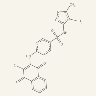 Cc1noc(NS(=O)(=O)c2ccc(NC3=C(Cl)C(=O)c4ccccc4C3=O)cc2)c1C